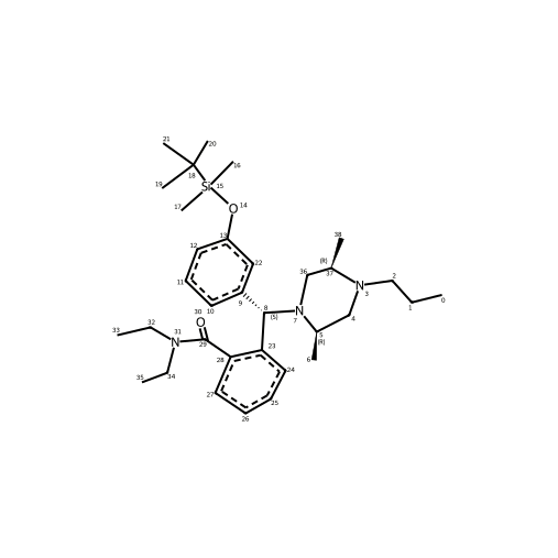 CCCN1C[C@@H](C)N([C@@H](c2cccc(O[Si](C)(C)C(C)(C)C)c2)c2ccccc2C(=O)N(CC)CC)C[C@H]1C